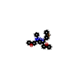 c1ccc(-c2nc(-c3ccc4oc5ccccc5c4c3)c3ccc4c(-c5cccc6c5oc5ccccc56)cc(-c5ccc6sc7ccccc7c6c5)nc4c3n2)cc1